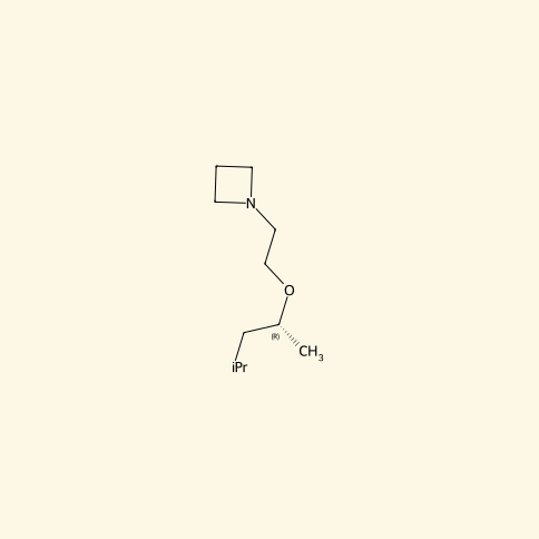 CC(C)C[C@@H](C)OCCN1CCC1